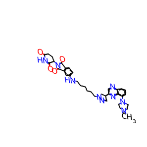 CN1CCN(c2cccc3ncc(C4C=NN(CCCCCCNc5ccc6c(c5)C(=O)N(C5CCC(=O)NC5=O)C6=O)C4)nc23)CC1